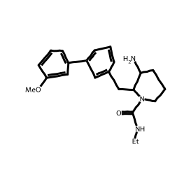 CCNC(=O)N1CCCC(N)C1Cc1cccc(-c2cccc(OC)c2)c1